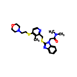 Cc1c(SCCN2CCOCC2)ccnc1CSc1nc2ccccc2n1CC(=O)N(C)C